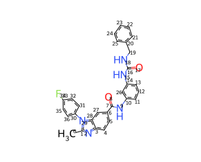 Cc1nc2ccc(C(=O)Nc3cccc(NC(=O)NCc4ccccc4)c3)cc2n1-c1ccc(F)cc1